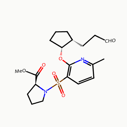 COC(=O)[C@@H]1CCCN1S(=O)(=O)c1ccc(C)nc1O[C@@H]1CCC[C@@H]1CCC=O